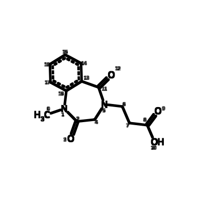 CN1C(=O)CN(CCC(=O)O)C(=O)c2ccccc21